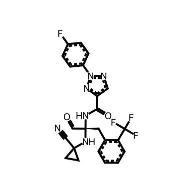 N#CC1(N[C@@](C=O)(Cc2ccccc2C(F)(F)F)NC(=O)c2cnn(-c3ccc(F)cc3)n2)CC1